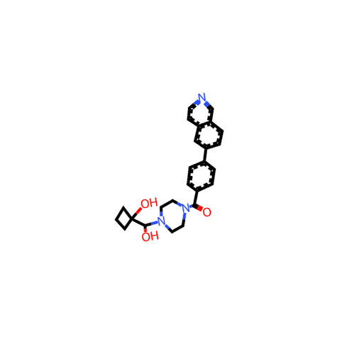 O=C(c1ccc(-c2ccc3cnccc3c2)cc1)N1CCN(C(O)C2(O)CCC2)CC1